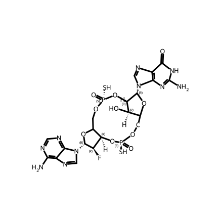 Nc1nc2c(ncn2[C@@H]2OC3CO[P@@](=O)(S)O[C@@H]4C(CO[P@](=O)(S)O[C@@H]2[C@@H]3O)O[C@@H](n2cnc3c(N)ncnc32)[C@@H]4F)c(=O)[nH]1